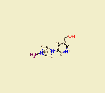 OCc1cncc(N2CC3CC2CN3P)c1